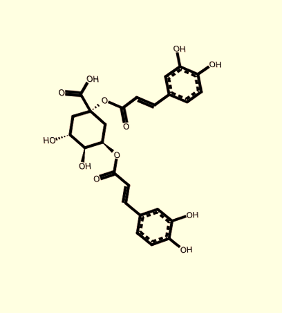 O=C(/C=C/c1ccc(O)c(O)c1)O[C@@H]1C[C@](OC(=O)/C=C/c2ccc(O)c(O)c2)(C(=O)O)C[C@@H](O)[C@@H]1O